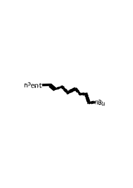 [CH2]CCCC/C=C/C/C=C/C/C=C/CCCC